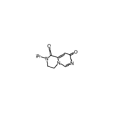 CC(C)N1CCn2cnc(=O)cc2C1=O